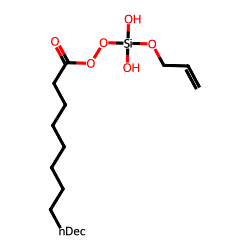 C=CCO[Si](O)(O)OOC(=O)CCCCCCCCCCCCCCCCC